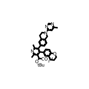 Cc1cc(N2CCc3cc(-c4c(C)nc(C)c(C(OC(C)(C)C)C(=O)O)c4-c4ccc5c(c4)CCCO5)ccc3C2)ncn1